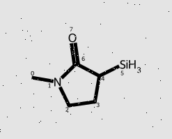 CN1CCC([SiH3])C1=O